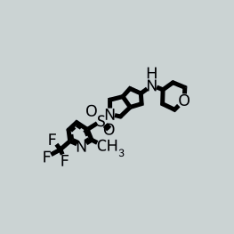 Cc1nc(C(F)(F)F)ccc1S(=O)(=O)N1CC2CC(NC3CCOCC3)CC2C1